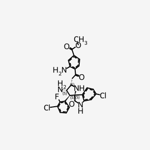 COC(=O)c1ccc(C(=O)C[C@@H]2N[C@@]3(C(=O)Nc4cc(Cl)ccc43)[C@@H](c3cccc(Cl)c3F)[C@@H]2N)c(N)c1